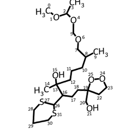 COC(C)OCOCC(C)CCCC(C)(O)C(CCC1(CO)CCOO1)C1SCCCS1